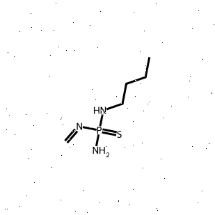 C=NP(N)(=S)NCCCC